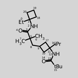 CCC1(NC(=O)C(C)(C)CC2CC(NC(=O)C(C)(C)C)(C(C)C)C2)CCC1